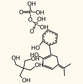 CC(C)=C1C=CC(O)=C(c2ccccc2O)C1.O=P(O)(O)OP(=O)(O)O.OCC(CO)(CO)CO